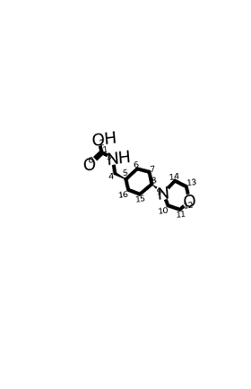 O=C(O)NC[C@H]1CC[C@H](N2CCOCC2)CC1